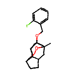 CC12CC3CCC(O1)C3CC2OCc1ccccc1F